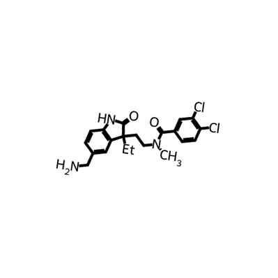 CCC1(CCN(C)C(=O)c2ccc(Cl)c(Cl)c2)C(=O)Nc2ccc(CN)cc21